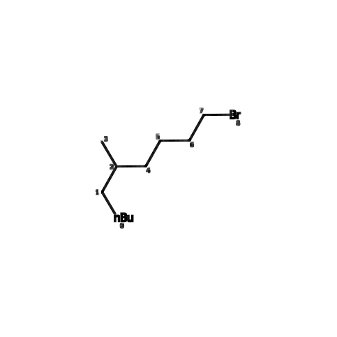 CCCCCC(C)CCCCBr